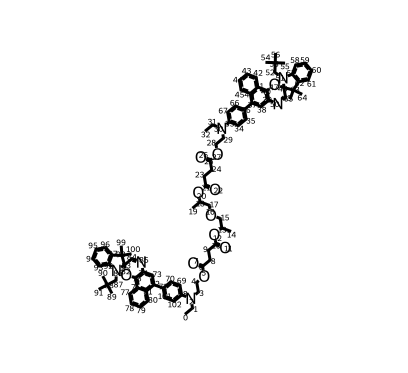 CCN(CCOC(=O)CCC(=O)OC(C)COCC(C)OC(=O)CCC(=O)OCCN(CC)c1ccc(-c2cc3c(c4ccccc24)OC2(C=N3)N(CC(C)(C)C)c3ccccc3C2(C)C)cc1)c1ccc(-c2cc3c(c4ccccc24)OC2(C=N3)N(CC(C)(C)C)c3ccccc3C2(C)C)cc1